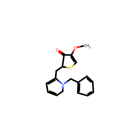 COC1=CSC(CC2=CC=CCN2Cc2ccccc2)C1=O